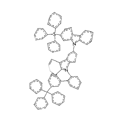 c1cc(C(c2ccccc2)(c2ccccc2)c2ccccc2)cc(-c2ccccc2-n2c3c(c4cc(-n5c6ccccc6c6ccc(S(c7ccccc7)(c7ccccc7)c7ccccc7)cc65)ccc42)C=CCC3)c#1